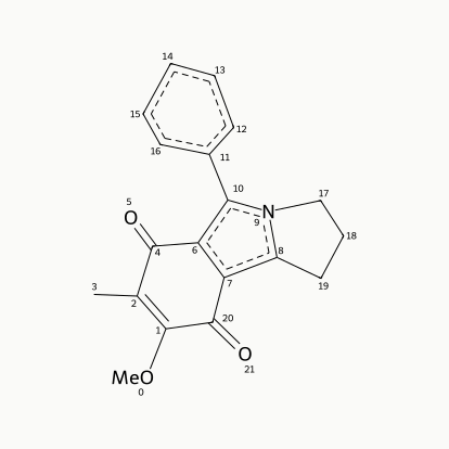 COC1=C(C)C(=O)c2c(c3n(c2-c2ccccc2)CCC3)C1=O